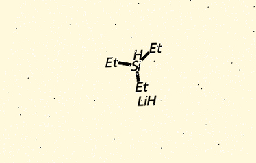 CC[SiH](CC)CC.[LiH]